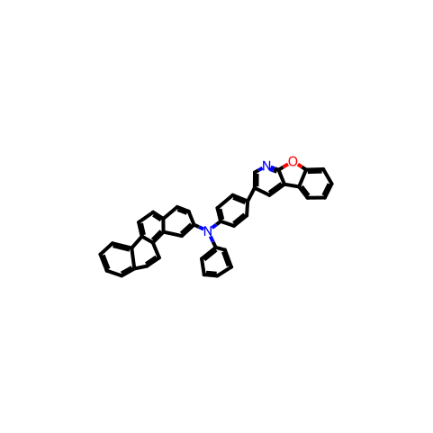 c1ccc(N(c2ccc(-c3cnc4oc5ccccc5c4c3)cc2)c2ccc3ccc4c5ccccc5ccc4c3c2)cc1